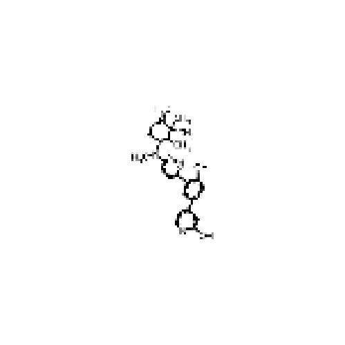 CC1C(N(C)c2ccc(-c3cc(-c4ccnc(O)c4)ccc3O)nn2)CCN(C)C1(C)C